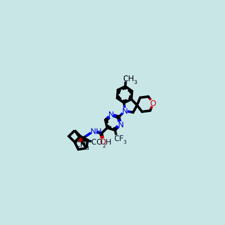 Cc1ccc2c(c1)C1(CCOCC1)CN2c1ncc(C(=O)NC2(C(=O)O)CC3CC4CC2CC43C)c(C(F)(F)F)n1